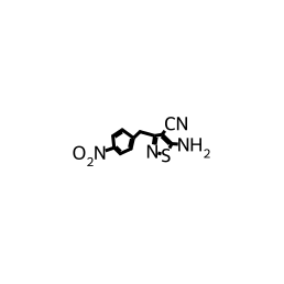 N#Cc1c(Cc2ccc([N+](=O)[O-])cc2)nsc1N